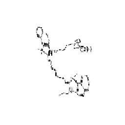 CCCN1/C(=C/C=C/C=C/C=C/C2=[N+](CCCCC(=O)OO)c3ccc4ccccc4c3C2(C)C)C(C)(C)c2c1ccc1ccccc21